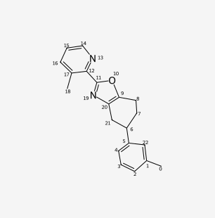 Cc1cccc(C2CCc3oc(-c4ncccc4C)nc3C2)c1